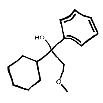 COCC(O)(c1ccccc1)C1CCCCC1